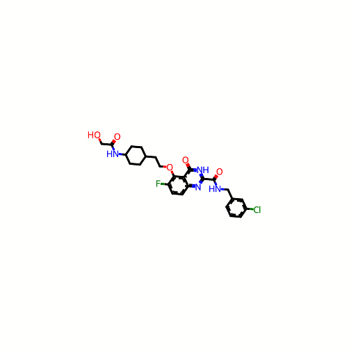 O=C(CO)NC1CCC(CCOc2c(F)ccc3nc(C(=O)NCc4cccc(Cl)c4)[nH]c(=O)c23)CC1